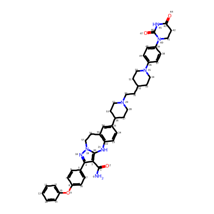 NC(=O)c1c(-c2ccc(Oc3ccccc3)cc2)nn2c1Nc1ccc(C3CCN(CCC4CCN(c5ccc(N6CCC(=O)NC6=O)cc5)CC4)CC3)cc1CC2